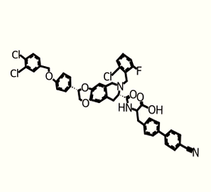 N#Cc1ccc(-c2ccc(CC(NC(=O)[C@@H]3Cc4cc5c(cc4CN3Cc3c(F)cccc3Cl)O[C@@H](c3ccc(OCc4ccc(Cl)c(Cl)c4)cc3)CO5)C(=O)O)cc2)cc1